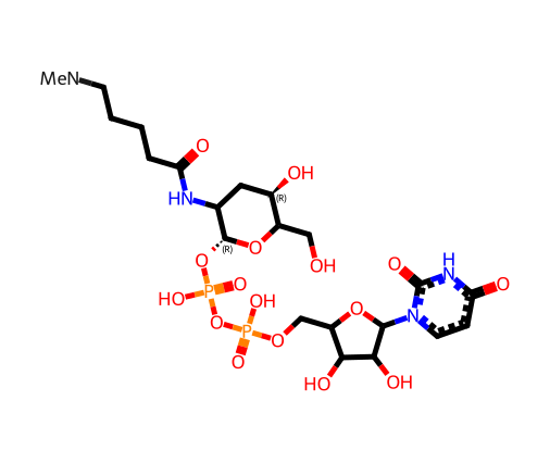 CNCCCCC(=O)NC1C[C@@H](O)C(CO)O[C@@H]1OP(=O)(O)OP(=O)(O)OCC1OC(n2ccc(=O)[nH]c2=O)C(O)C1O